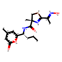 CCC[C@@H](NC(=O)[C@]1(C)CSC(/C(C)=N/O)=N1)c1cc(C)cc(=O)o1